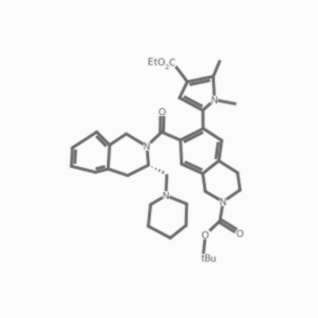 CCOC(=O)c1cc(-c2cc3c(cc2C(=O)N2Cc4ccccc4C[C@H]2CN2CCCCC2)CN(C(=O)OC(C)(C)C)CC3)n(C)c1C